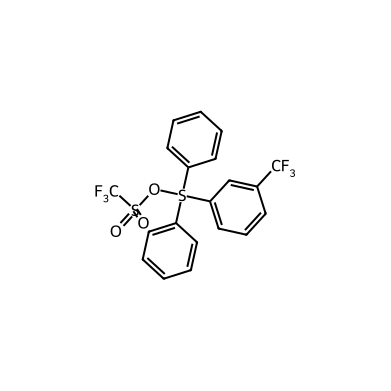 O=S(=O)(OS(c1ccccc1)(c1ccccc1)c1cccc(C(F)(F)F)c1)C(F)(F)F